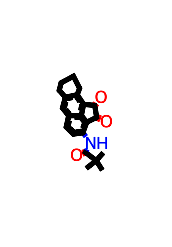 CC(C)(C)C(=O)Nc1ccc2cc3c(c4c2c1C(=O)C4=O)CCCC3